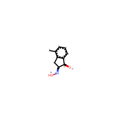 Cc1cccc2c1CC(=NO)C2=O